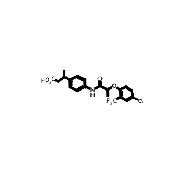 CC(Oc1ccc(Cl)cc1C(F)(F)F)C(=O)Nc1ccc(C(C)CC(=O)O)cc1